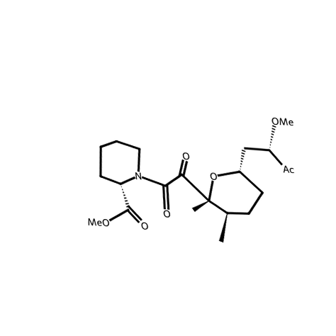 COC(=O)[C@@H]1CCCCN1C(=O)C(=O)[C@]1(C)O[C@H](C[C@H](OC)C(C)=O)CC[C@H]1C